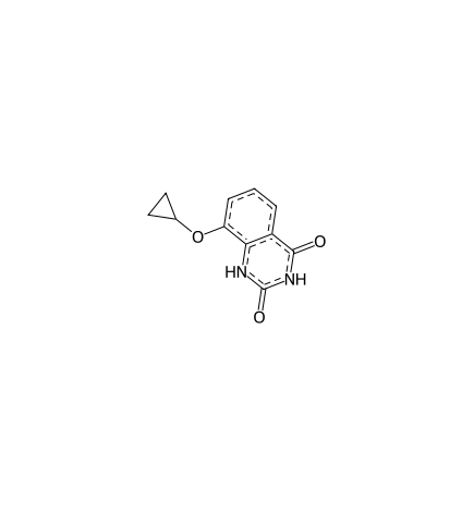 O=c1[nH]c(=O)c2cccc(OC3CC3)c2[nH]1